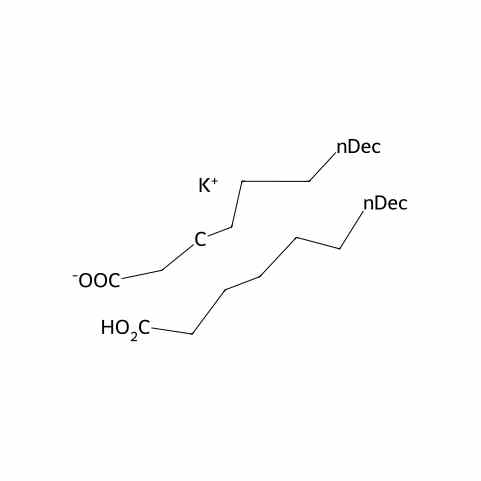 CCCCCCCCCCCCCCCC(=O)O.CCCCCCCCCCCCCCCC(=O)[O-].[K+]